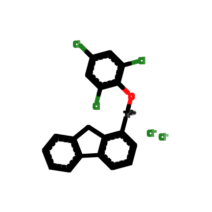 Clc1cc(Cl)c([O][Ti+2][c]2cccc3c2Cc2ccccc2-3)c(Cl)c1.[Cl-].[Cl-]